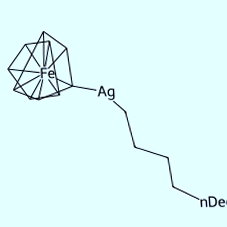 CCCCCCCCCCCCC[CH2][Ag][C]12[CH]3[CH]4[CH]5[CH]1[Fe]45321678[CH]2[CH]1[CH]6[CH]7[CH]28